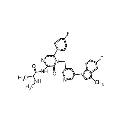 CN[C@@H](C)C(=O)Nc1ncc(-c2ccc(F)cc2)n(Cc2cncc(-n3cc(C)c4cc(F)ccc43)c2)c1=O